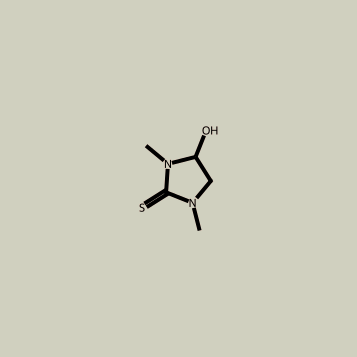 CN1CC(O)N(C)C1=S